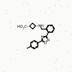 Cc1ccc(-c2nc(-c3ccccc3CN[C@H]3C[C@@H](C(=O)O)C3)no2)cc1